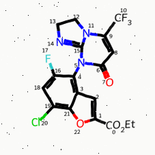 CCOC(=O)c1cc2c(N3C(=O)C=C(C(F)(F)F)N4CCN=C43)c(F)cc(Cl)c2o1